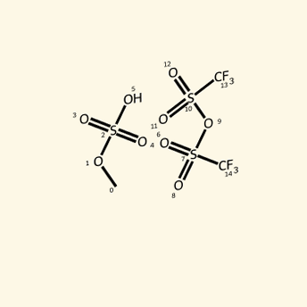 COS(=O)(=O)O.O=S(=O)(OS(=O)(=O)C(F)(F)F)C(F)(F)F